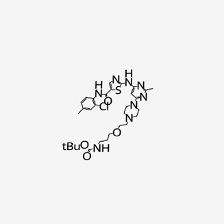 Cc1ccc(NC(=O)c2cnc(Nc3cc(N4CCN(CCOCCCNC(=O)OC(C)(C)C)CC4)nc(C)n3)s2)c(Cl)c1